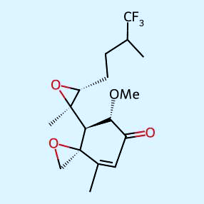 CO[C@@H]1C(=O)C=C(C)[C@]2(CO2)[C@H]1[C@@]1(C)O[C@@H]1CCC(C)C(F)(F)F